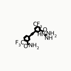 N=C(N)NC(=O)c1cc(C#Cc2ccc(C(F)(F)F)c(C(N)=O)c2)cc(C(F)(F)F)c1